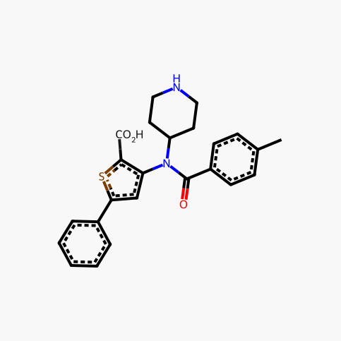 Cc1ccc(C(=O)N(c2cc(-c3ccccc3)sc2C(=O)O)C2CCNCC2)cc1